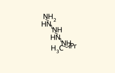 CC(C)CC(C)NCCNCCNCCNCCN